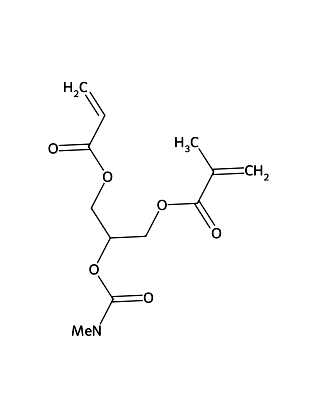 C=CC(=O)OCC(COC(=O)C(=C)C)OC(=O)NC